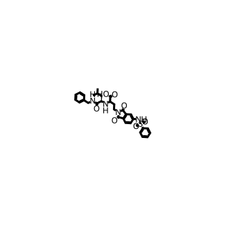 CC(C)C[C@@H](NC(CCN1C(=O)c2ccc(NS(=O)(=O)c3ccccc3)cc2C1=O)C(=O)O)C(=O)NCc1ccccc1